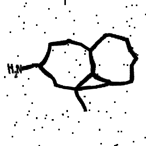 CC12CC(N)CCC3CCCCC1C32